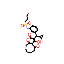 O=C1CCCCCc2oc(=O)c(C(c3cccc(NS(=O)(=O)CCCI)c3)C3CC3)c(O)c21